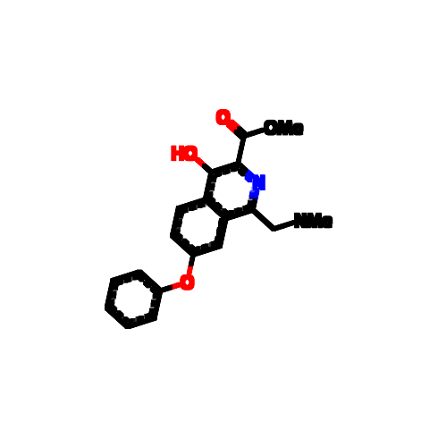 CNCc1nc(C(=O)OC)c(O)c2ccc(Oc3ccccc3)cc12